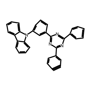 c1ccc(-c2nc(-c3ccccc3)nc(-c3cccc(-n4c5ccccc5c5ccccc54)c3)n2)cc#1